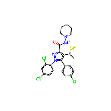 CC(S)c1c(C(=O)NN2CCCCC2)nn(-c2ccc(Cl)cc2Cl)c1-c1ccc(Cl)cc1